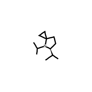 CC(C)[C@@H]1CCC2(CC2)N1C(C)C